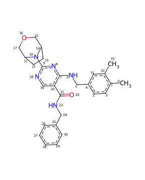 Cc1ccc(CNc2nc(N3C4CCC3COC4)ncc2C(=O)NCc2ccccc2)cc1C